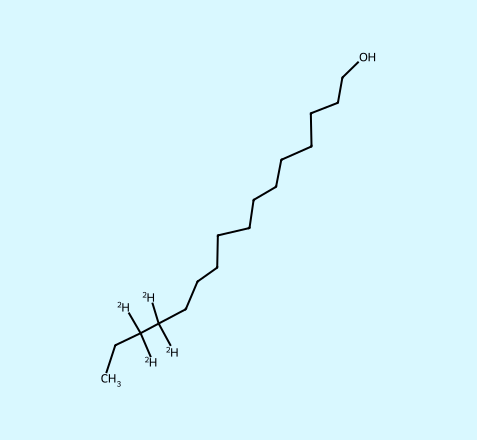 [2H]C([2H])(CC)C([2H])([2H])CCCCCCCCCCCCO